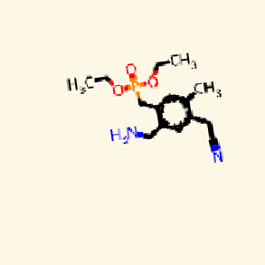 CCOP(=O)(Cc1cc(C)c(CC#N)cc1CN)OCC